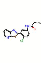 N#CCC(=O)Nc1ccc(Cl)c(-c2nc3cccnc3s2)c1